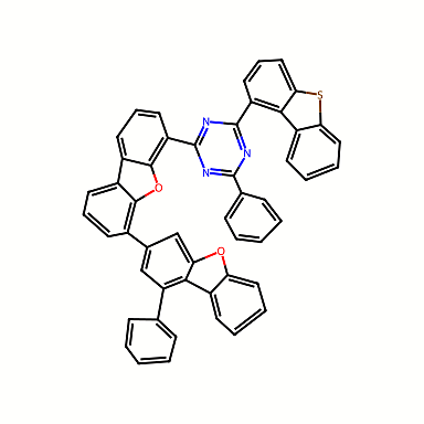 c1ccc(-c2nc(-c3cccc4c3oc3c(-c5cc(-c6ccccc6)c6c(c5)oc5ccccc56)cccc34)nc(-c3cccc4sc5ccccc5c34)n2)cc1